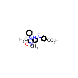 C[C@@H]1C(=O)N(C)c2ccc(Nc3ccc(C(=O)O)cc3)nc2N1C1CCCCCC1